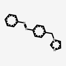 c1ccc(N=Nc2ccc(Cn3ccnc3)cc2)cc1